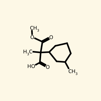 COC(=O)C(C)(C(=O)O)C1CCCC(C)C1